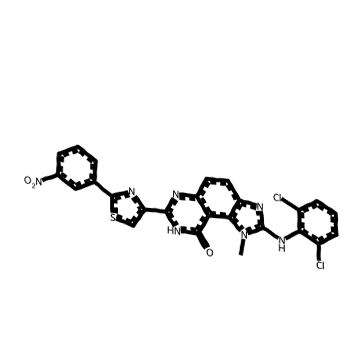 Cn1c(Nc2c(Cl)cccc2Cl)nc2ccc3nc(-c4csc(-c5cccc([N+](=O)[O-])c5)n4)[nH]c(=O)c3c21